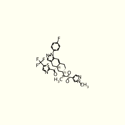 C[C@H]([C@H]1CCC2=Cc3c(cnn3-c3ccc(F)cc3)C[C@]2(C(=O)c2ncc(C(F)(F)F)s2)C1)S(=O)(=O)c1cnn(C)c1